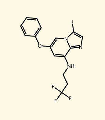 FC(F)(F)CCNc1cc(Oc2ccccc2)cn2c(I)cnc12